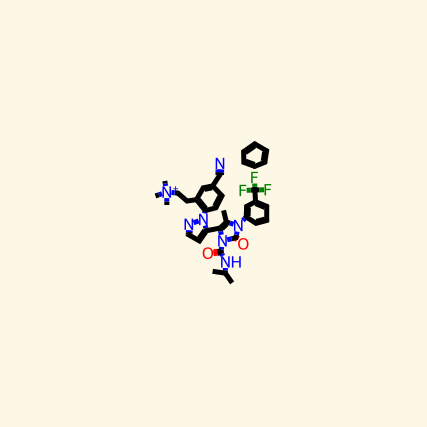 Cc1c(-c2ccnn2-c2ccc(C#N)cc2CC[N+](C)(C)C)n(C(=O)NC(C)C)c(=O)n1-c1cccc(C(F)(F)F)c1.c1ccccc1